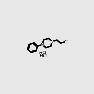 Cl.Cl.ClCCN1CCN(c2ccccc2)CC1